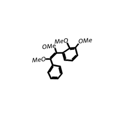 COC(=C(OC)c1cccc(OC)c1OC)c1ccccc1